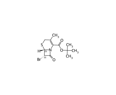 CC1=C(C(=O)OC(C)(C)C)N2C(=O)[C@H](Br)[C@@H]2SC1